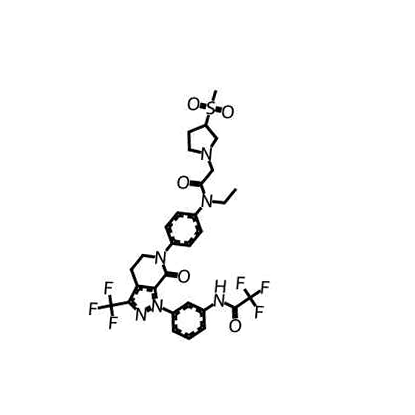 CCN(C(=O)CN1CCC(S(C)(=O)=O)C1)c1ccc(N2CCc3c(C(F)(F)F)nn(-c4cccc(NC(=O)C(F)(F)F)c4)c3C2=O)cc1